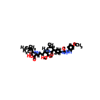 COc1ccc(NC(=O)Nc2ccc(C(CC(C)C)C(=O)NC(CCCCC(NC(=O)CC(C)(C)C)C(=O)O)C(=O)O)cc2)cc1